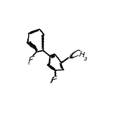 Cc1cc(F)cc(-c2ccccc2F)c1